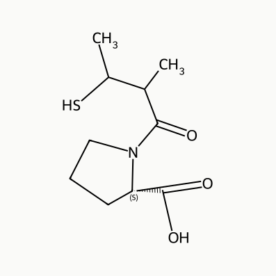 CC(S)C(C)C(=O)N1CCC[C@H]1C(=O)O